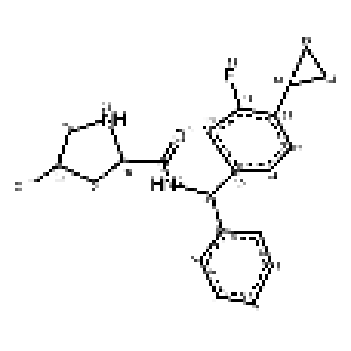 O=C(NC(c1ccccc1)c1ccc(C2CC2)c(F)n1)C1CC(F)CN1